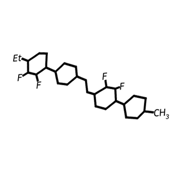 CCC1CCC(C2CCC(CCC3CCC(C4CCC(C)CC4)C(F)C3F)CC2)C(F)C1F